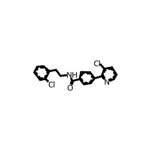 O=C(NCCc1ccccc1Cl)c1ccc(-c2ncccc2Cl)cc1